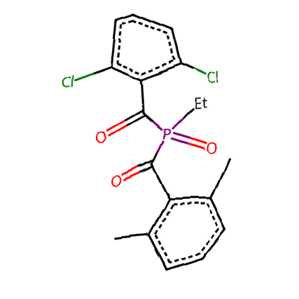 CCP(=O)(C(=O)c1c(C)cccc1C)C(=O)c1c(Cl)cccc1Cl